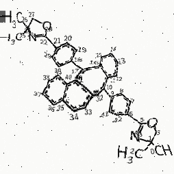 CC1(C)COC(c2ccc(-c3c4ccccc4c(-c4ccc(C5=NC(C)(C)CO5)cc4)c4c3ccc3ccccc34)cc2)=N1